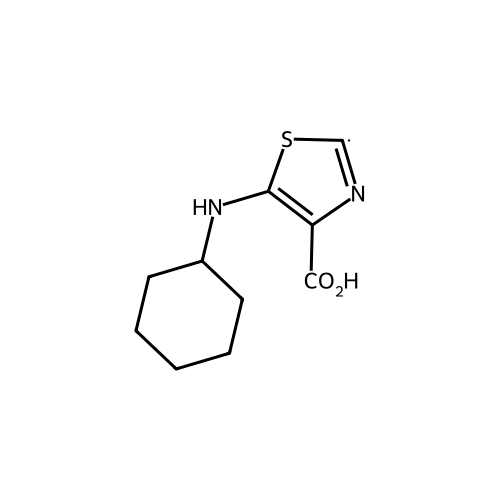 O=C(O)c1n[c]sc1NC1CCCCC1